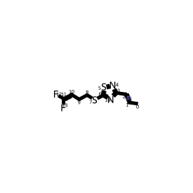 C/C=C/c1nsc(SCCC=C(F)F)n1